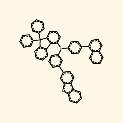 c1ccc(C2(c3ccccc3)c3ccccc3-c3c(N(c4ccc(-c5cccc6ccccc56)cc4)c4cccc(-c5ccc6c(c5)sc5ccccc56)c4)cccc32)cc1